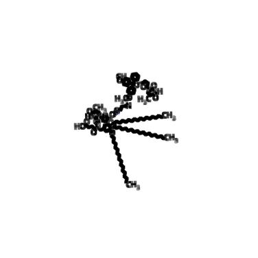 CCCCCCCCCCCCCCCCCCOC1=CC(CNC(=O)CCC(=O)O)=CC(OCCCCCCCCCCCCCCCCCC)([C@@H]2C[C@H](n3cc(C)c(=O)[nH]c3=O)O[C@@H]2CO/P=[O+]/CCC#N)C1OCCCCCCCCCCCCCCCCCC.COc1ccc(C(OC[C@@H]2CC[C@H](n3cc(C)c(=O)[nH]c3=O)O2)(c2ccccc2)c2ccc(OC)cc2)cc1